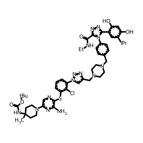 CCNC(=O)c1nnc(-c2cc(C(C)C)c(O)cc2O)n1-c1ccc(CN2CCN(Cc3cn(-c4cccc(Sc5ncc(N6CCC(C)(NC(=O)OC(C)(C)C)CC6)nc5N)c4Cl)nn3)CC2)cc1